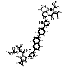 COC(=O)N[C@H](C(=O)N1C[C@@H](CN)C[C@H]1c1ncc(-c2ccc(-c3ccc4cc(-c5cnc([C@@H]6CC7(CC7)CN6C(=O)[C@@H](NC(=O)OC)C(C)C)[nH]5)ccc4c3)cc2)[nH]1)C(C)C